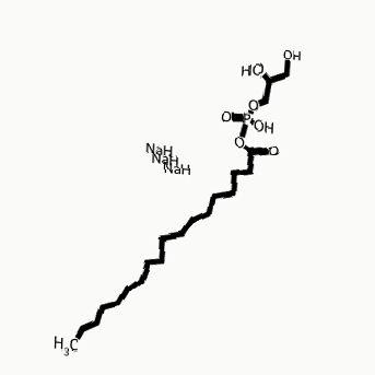 CCCCCCCCCCCCCCCCCC(=O)OP(=O)(O)OCC(O)CO.[NaH].[NaH].[NaH]